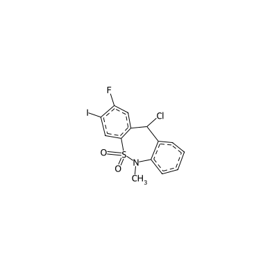 CN1c2ccccc2C(Cl)c2cc(F)c(I)cc2S1(=O)=O